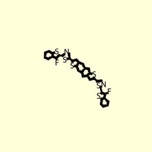 Fc1c(-c2ncc(-c3cc4cc5cc6sc(-c7cnc(-c8sc9ccccc9c8F)s7)cc6cc5cc4s3)s2)sc2ccccc12